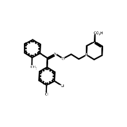 Cc1ccccc1/C(=N/OCCN1CCC=C(C(=O)O)C1)c1ccc(Cl)c(Cl)c1